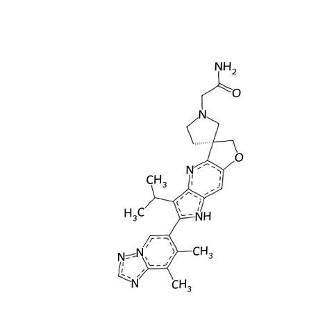 Cc1c(-c2[nH]c3cc4c(nc3c2C(C)C)[C@]2(CCN(CC(N)=O)C2)CO4)cn2ncnc2c1C